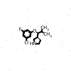 CC(C)[C@H](Oc1cc(F)cc(Cl)c1)[C@H]1CCNC1